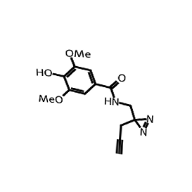 C#CCC1(CNC(=O)c2cc(OC)c(O)c(OC)c2)N=N1